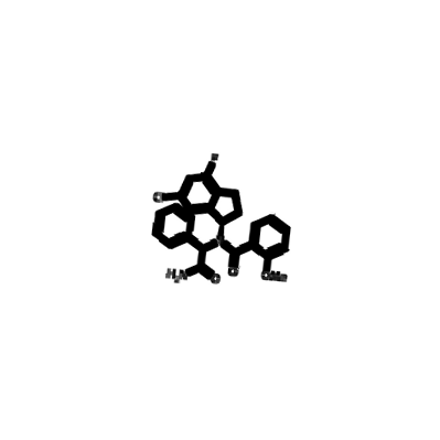 COc1ccccc1C(=O)N(C(C(N)=O)c1ccccc1)[C@@H]1CCc2c(F)cc(Cl)cc21